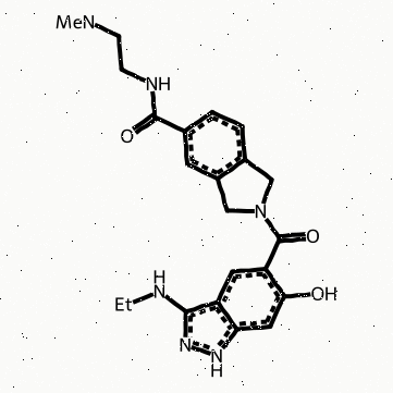 CCNc1n[nH]c2cc(O)c(C(=O)N3Cc4ccc(C(=O)NCCNC)cc4C3)cc12